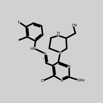 CSc1nc(Cl)c(/C=N/Nc2cccc(F)c2C)c(N2CCNC(CC#N)C2)n1